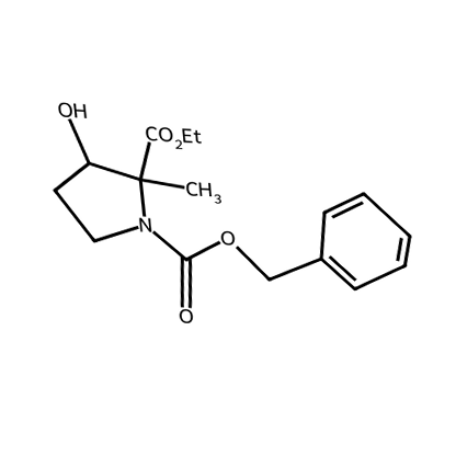 CCOC(=O)C1(C)C(O)CCN1C(=O)OCc1ccccc1